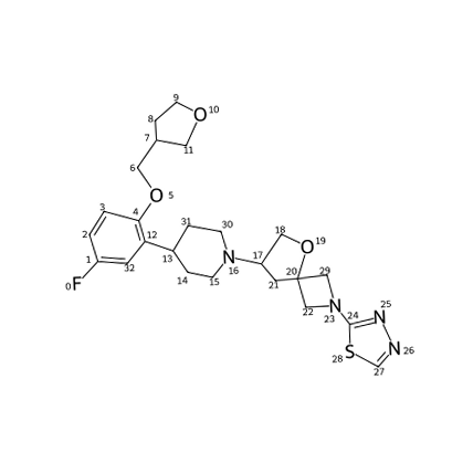 Fc1ccc(OCC2CCOC2)c(C2CCN(C3COC4(C3)CN(c3nncs3)C4)CC2)c1